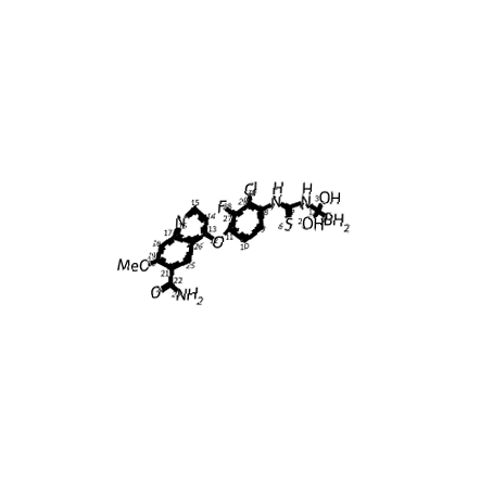 BC(O)(O)NC(=S)Nc1ccc(Oc2ccnc3cc(OC)c(C(N)=O)cc23)c(F)c1Cl